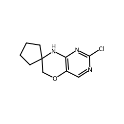 Clc1ncc2c(n1)NC1(CCCC1)CO2